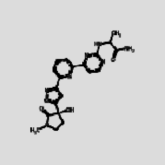 CC(Nc1nccc(-c2cccc(-c3cc([C@]4(O)CCN(C)C4=O)on3)n2)n1)C(N)=O